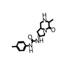 Cc1ccc(NC(=O)N[C@H]2CC3CNC(C)C(=O)N3C2)cc1